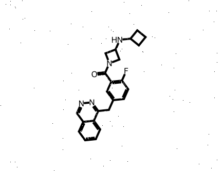 O=C(c1cc(Cc2nncc3ccccc23)ccc1F)N1CC(NC2CCC2)C1